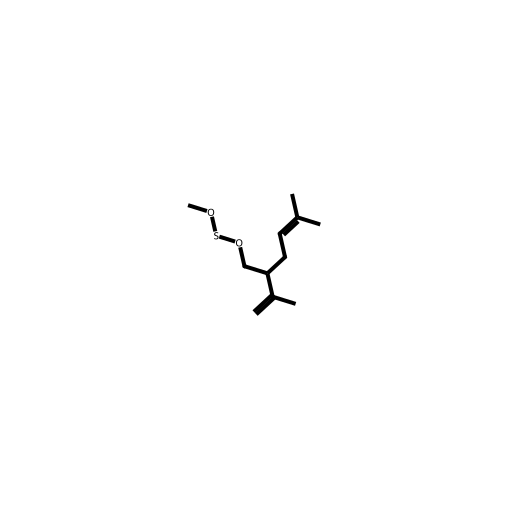 C=C(C)C(CC=C(C)C)COSOC